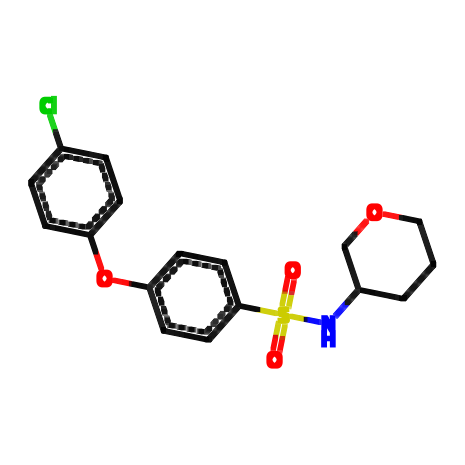 O=S(=O)(NC1CCCOC1)c1ccc(Oc2ccc(Cl)cc2)cc1